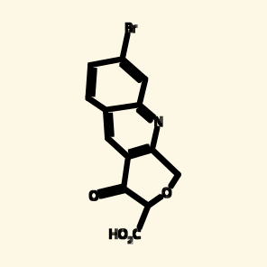 O=C(O)C1OCc2nc3cc(Br)ccc3cc2C1=O